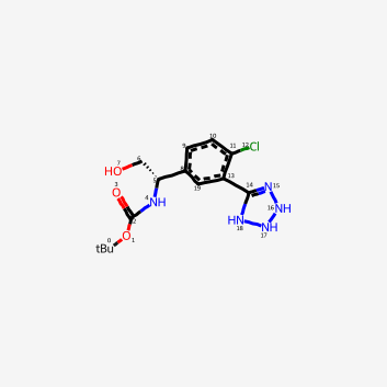 CC(C)(C)OC(=O)N[C@H](CO)c1ccc(Cl)c(C2=NNNN2)c1